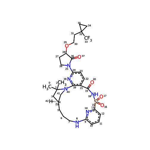 CC1(C)C[C@@H]2CCCNc3cccc(n3)S(=O)(=O)NC(=O)c3ccc(N4CCC(OCCC5(C(F)(F)F)CC5)C4=O)nc3N1C2